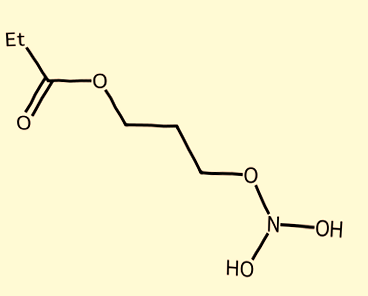 CCC(=O)OCCCON(O)O